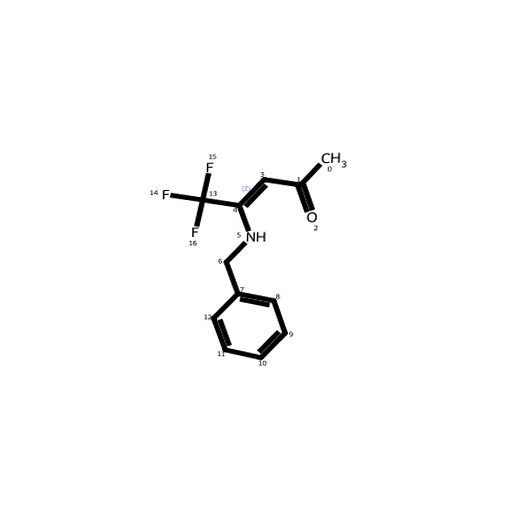 CC(=O)/C=C(\NCc1ccccc1)C(F)(F)F